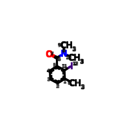 Cc1cccc(C(=O)N(C)C)c1I